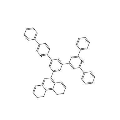 C1=Cc2cc(-c3cc(-c4cc(-c5ccccc5)nc(-c5ccccc5)c4)cc(-c4ccc(-c5ccccc5)cn4)c3)c3c(c2CC1)CCC=C3